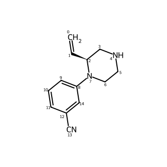 C=C[C@H]1CNCCN1c1cccc(C#N)c1